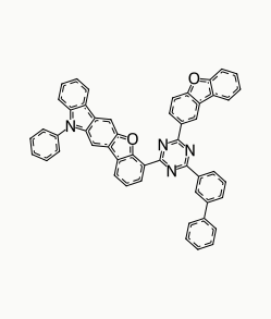 c1ccc(-c2cccc(-c3nc(-c4ccc5oc6ccccc6c5c4)nc(-c4cccc5c4oc4cc6c7ccccc7n(-c7ccccc7)c6cc45)n3)c2)cc1